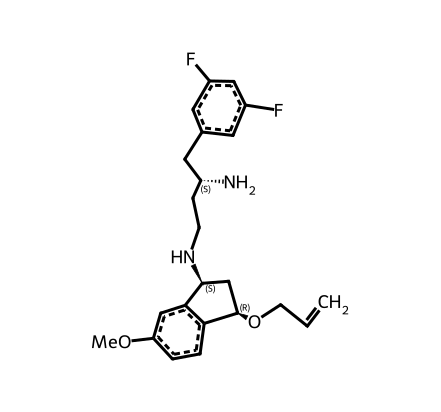 C=CCO[C@@H]1C[C@H](NCC[C@@H](N)Cc2cc(F)cc(F)c2)c2cc(OC)ccc21